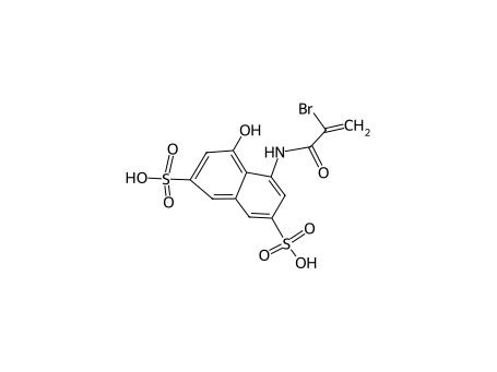 C=C(Br)C(=O)Nc1cc(S(=O)(=O)O)cc2cc(S(=O)(=O)O)cc(O)c12